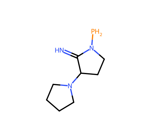 N=C1C(N2CCCC2)CCN1P